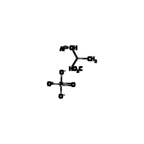 CC(O)C(=O)O.O=P([O-])([O-])[O-].[Al+3]